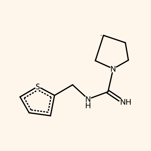 N=C(NCc1cccs1)N1C[CH]CC1